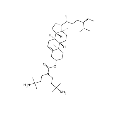 CC[C@H](CC[C@@H](C)[C@H]1CC[C@H]2[C@@H]3CC=C4C[C@@H](OC(=O)N(CCC(C)(C)N)CCC(C)(C)N)CC[C@]4(C)[C@H]3CC[C@]12C)C(C)C